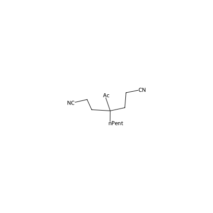 CCCCCC(CCC#N)(CCC#N)C(C)=O